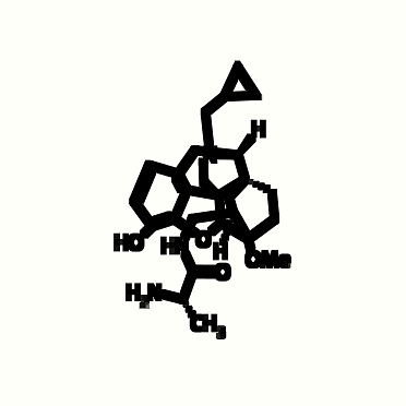 COC12CC[C@@]3(C[C@@H]1CNC(=O)[C@H](C)N)[C@H]1Cc4ccc(O)c5c4[C@@]3(CCN1CC1CC1)C2O5